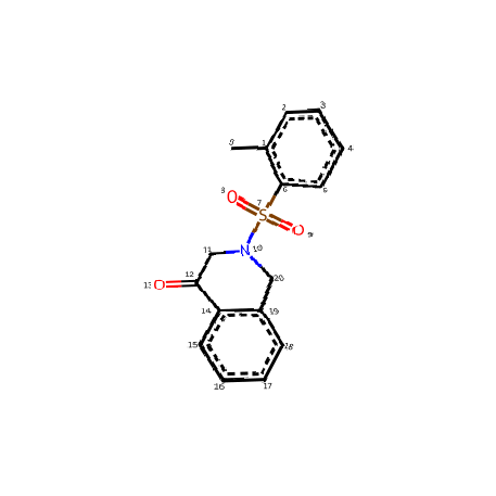 Cc1ccccc1S(=O)(=O)N1CC(=O)c2ccccc2C1